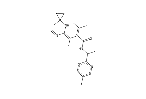 C=N/C(NC1(C)CC1)=C(\C)C(C(=O)NC(C)c1ncc(F)cn1)=C(C)C